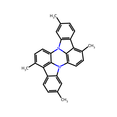 Cc1ccc2c3c(C)ccc4c3n(c2c1)c1ccc(C)c2c3ccc(C)cc3n4c21